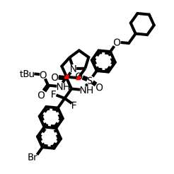 CC(C)(C)OC(=O)NC1CC2CCC(C1)N2C(=O)C(NS(=O)(=O)c1ccc(OCC2CCCCC2)cc1)C(F)(F)c1ccc2cc(Br)ccc2c1